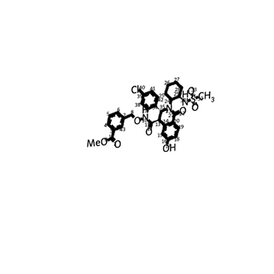 COC(=O)c1cccc(CONC(=O)[C@@H]2c3cc(O)ccc3C(=O)N(C3CCCC[C@@H]3NS(C)(=O)=O)[C@H]2c2ccc(Cl)cc2)c1